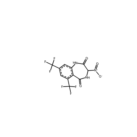 O=C1NC([N+](=O)[O-])C(=O)Nc2cc(C(F)(F)F)cc(C(F)(F)F)c21